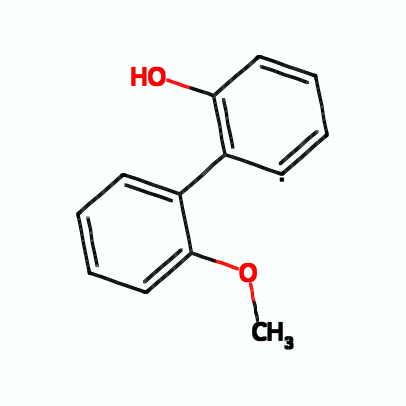 COc1ccccc1-c1[c]cccc1O